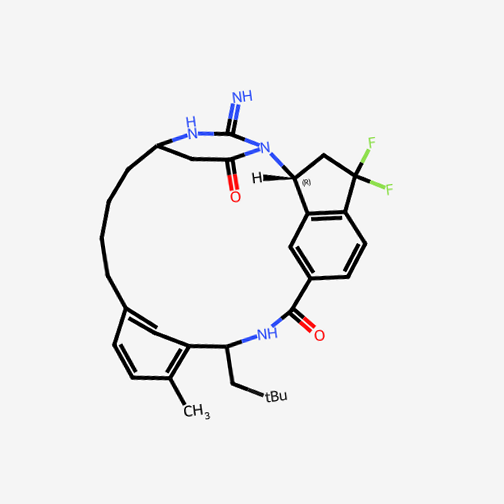 Cc1ccc2cc1C(CC(C)(C)C)NC(=O)c1ccc3c(c1)[C@@H](CC3(F)F)N1C(=N)NC(CCCC2)CC1=O